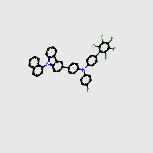 Fc1ccc(N(c2ccc(-c3ccc4c(c3)c3ccccc3n4-c3cccc4ccccc34)cc2)c2ccc(-c3c(F)c(F)c(F)c(F)c3F)cc2)cc1